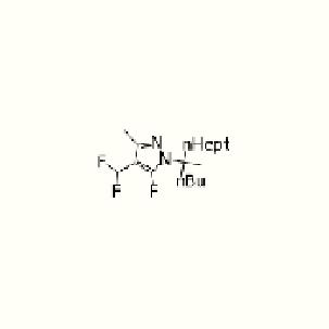 CCCCCCCC(C)(CCCC)n1nc(C)c(C(F)F)c1F